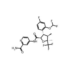 C[C@@H]1[C@@H](c2ccc(F)cc2OC(F)F)[C@H](C(=O)Nc2ccnc(C(N)=O)c2)O[C@]1(C)C(F)(F)F